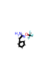 NC(=Cc1ccccc1)[N]OC(F)(F)F